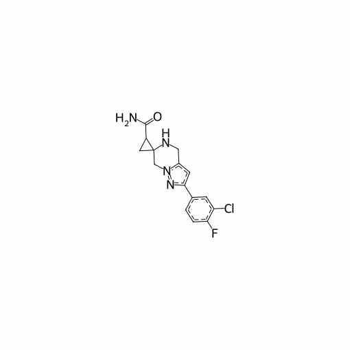 NC(=O)C1CC12Cn1nc(-c3ccc(F)c(Cl)c3)cc1CN2